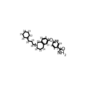 NC(=O)c1ccc(Oc2ccc3c(c2)CCCN(CCCC2CCCCC2)C3)nc1